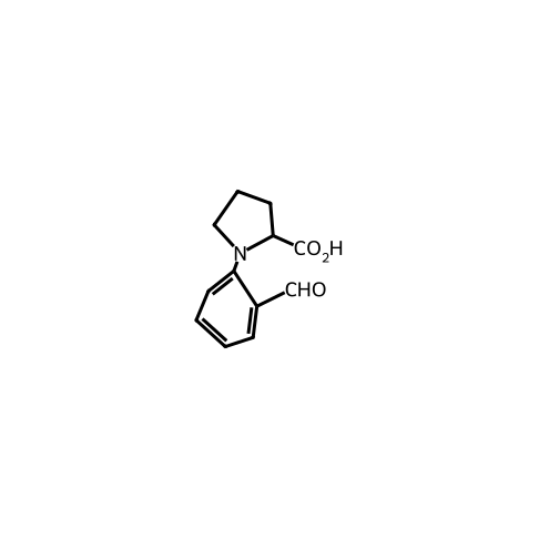 O=Cc1ccccc1N1CCCC1C(=O)O